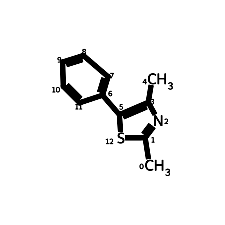 Cc1nc(C)c(-c2ccccc2)s1